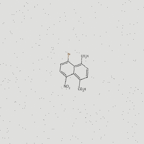 O=C(O)c1ccc(C(=O)O)c2c([N+](=O)[O-])ccc(Br)c12